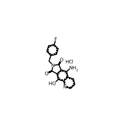 Cl.Nc1c2c(c(O)c3ncccc13)C(=O)N(Cc1ccc(F)cc1)C2=O